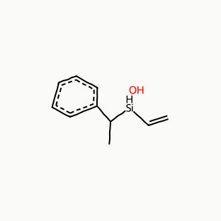 C=C[SiH](O)C(C)c1ccccc1